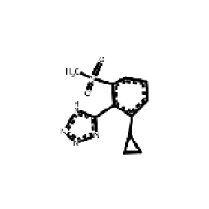 CS(=O)(=O)c1cccc(C2CC2)c1-c1nnn[nH]1